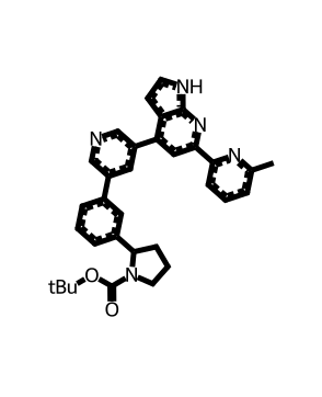 Cc1cccc(-c2cc(-c3cncc(-c4cccc(C5CCCN5C(=O)OC(C)(C)C)c4)c3)c3cc[nH]c3n2)n1